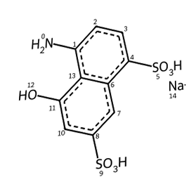 Nc1ccc(S(=O)(=O)O)c2cc(S(=O)(=O)O)cc(O)c12.[Na]